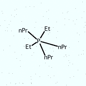 CCCP(CC)(CC)(CCC)CCC